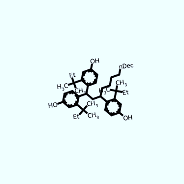 CCCCCCCCCCCCCCC(CC(c1ccc(O)cc1C(C)(C)CC)c1ccc(O)cc1C(C)(C)CC)c1ccc(O)cc1C(C)(C)CC